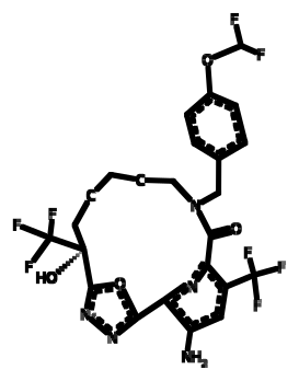 Nc1cc(C(F)(F)F)c2nc1-c1nnc(o1)[C@@](O)(C(F)(F)F)CCCCCN(Cc1ccc(OC(F)F)cc1)C2=O